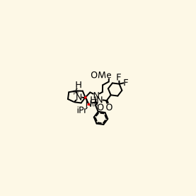 COCCCN1CC2(CC3CC[C@H](C2)N3CC[C@H](NC(=O)C2CCC(F)(F)CC2)c2ccccc2)N(C(C)C)C1=O